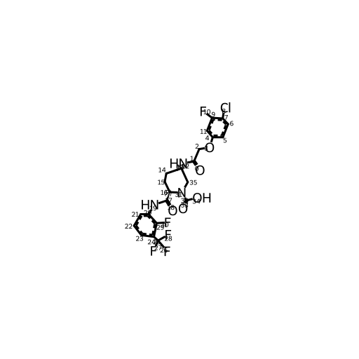 O=C(COc1ccc(Cl)c(F)c1)N[C@H]1CC[C@H](C(=O)Nc2cccc(C(F)(F)F)c2F)N(C(=O)O)C1